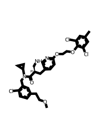 COCCc1ccc(Cl)c(CN(C(=O)[C@@H](CN)Cc2ccc(OCCOc3c(Cl)cc(C)cc3Cl)nc2)C2CC2)c1